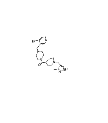 Cc1n[nH]cc1CN1CCC(C(=O)N2CCN(Cc3ccccc3Br)CC2)CC1